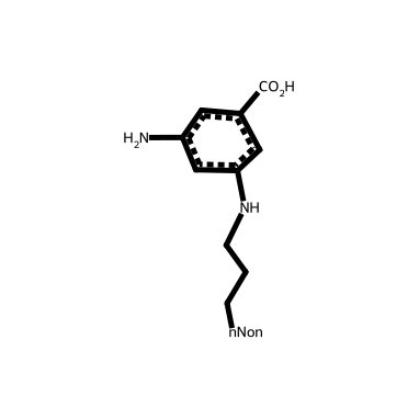 CCCCCCCCCCCCNc1cc(N)cc(C(=O)O)c1